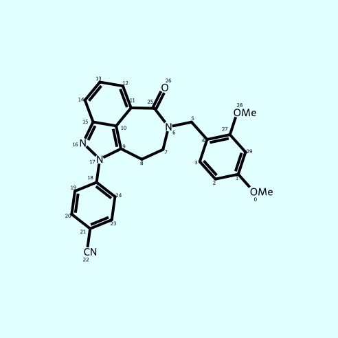 COc1ccc(CN2CCc3c4c(cccc4nn3-c3ccc(C#N)cc3)C2=O)c(OC)c1